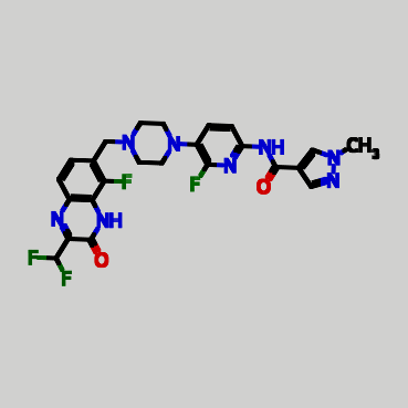 Cn1cc(C(=O)Nc2ccc(N3CCN(Cc4ccc5nc(C(F)F)c(=O)[nH]c5c4F)CC3)c(F)n2)cn1